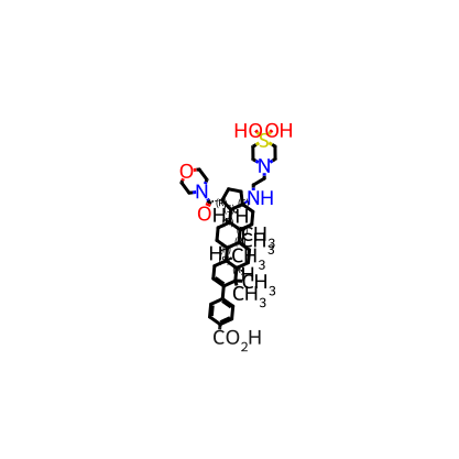 CC1(C)C(c2ccc(C(=O)O)cc2)=CC[C@]2(C)[C@H]3CC[C@@H]4[C@H]5[C@H](C(=O)N6CCOCC6)CC[C@]5(NCCN5CCS(O)(O)CC5)CC[C@@]4(C)[C@]3(C)CC[C@@H]12